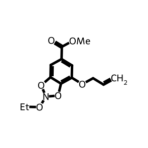 C=CCOc1cc(C(=O)OC)cc2c1ON(OCC)O2